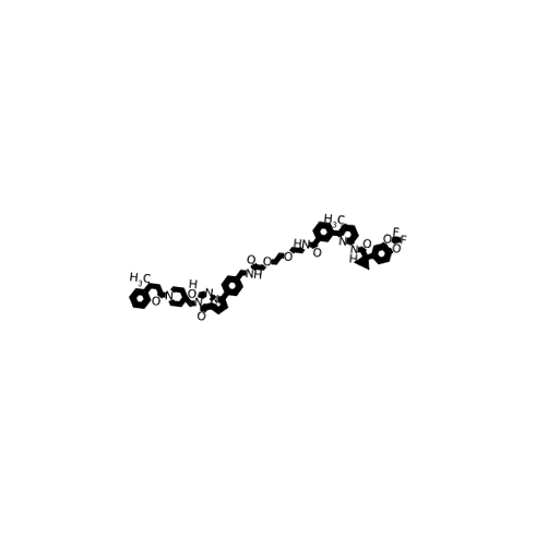 Cc1ccc(NC(=O)C2(c3ccc4c(c3)OC(F)(F)O4)CC2)nc1-c1cccc(C(=O)NCCOCCOCC(=O)NCc2ccc(-c3ccc4c(=O)n(CC5(O)CCN(C(=O)C[C@@H](C)c6ccccc6)CC5)cnn34)cc2)c1